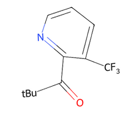 CC(C)(C)C(=O)c1ncccc1C(F)(F)F